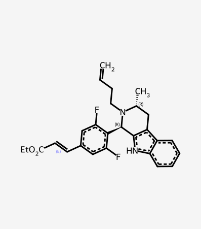 C=CCCN1[C@H](c2c(F)cc(/C=C/C(=O)OCC)cc2F)c2[nH]c3ccccc3c2C[C@H]1C